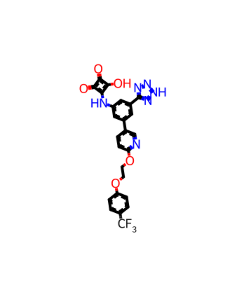 O=c1c(O)c(Nc2cc(-c3ccc(OCCOc4ccc(C(F)(F)F)cc4)nc3)cc(-c3nn[nH]n3)c2)c1=O